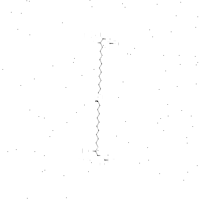 CCCCCCCCC(OC(=O)CC)C(O)CCCCCCCCCCCCOC(=O)CCCCCCCCCCCC(O)C(CCCCCCCC)OC(=O)CC